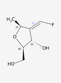 C[C@@H]1O[C@H](CO)[C@@H](O)/C1=C\F